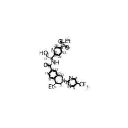 CC[C@@H]1CN(c2ncc(C(F)(F)F)cn2)Cc2cc(C(=O)N[C@H](CO)c3ccc(S(=O)(=O)CC)cn3)ccc21